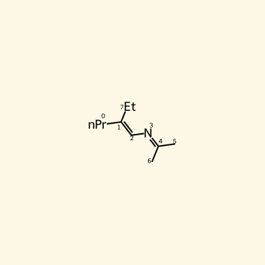 CCC/C(=C/N=C(C)C)CC